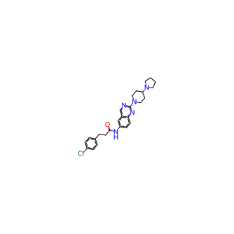 O=C(CCc1ccc(Cl)cc1)Nc1ccc2nc(N3CCC(N4CCCC4)CC3)ncc2c1